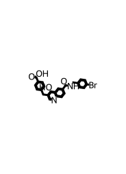 O=C(O)c1ccc(Cc2cnc3ccc(C(=O)NCc4ccc(Br)cc4)cc3c2O)cc1